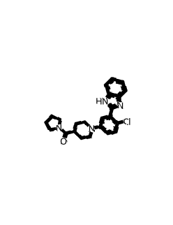 O=C(C1CCN(c2ccc(Cl)c(-c3nc4ccccc4[nH]3)c2)CC1)N1CCCC1